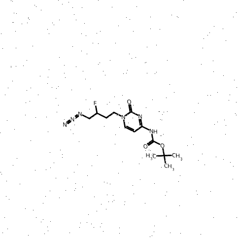 CC(C)(C)OC(=O)Nc1ccn(CCC(F)CN=[N+]=[N-])c(=O)n1